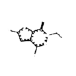 CCOC(=O)Cn1nc(C(C)C)c2cc(N)sc2c1=O